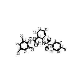 Cc1ccc(S(=O)(=O)NC2C=CCCC2C(=O)Oc2c(C)cc(C)cc2C)cc1